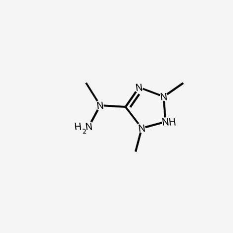 CN1N=C(N(C)N)N(C)N1